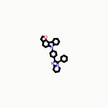 c1ccc(-c2c(-c3ccc(-n4c5ccccc5c5c6occc6ccc54)cc3)nc3ccccn23)cc1